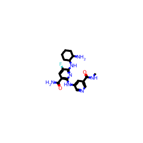 CNC(=O)c1cncc(Nc2nc(NC3CCCCC3N)c(F)cc2C(N)=O)c1